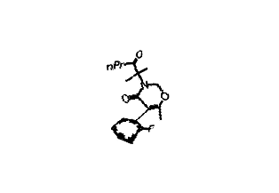 CCCC(=O)C(C)(C)N1COC(C)=C(c2ccccc2F)C1=O